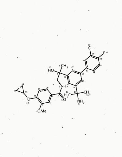 COc1cc(C(=O)NCC(C)(O)c2cc(C(C)(C)N)cc(-c3ccc(F)c(Cl)c3)n2)ccc1OC1CC1